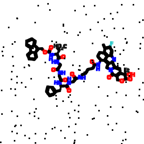 CC[C@@]1(O)C(=O)OCc2c1cc1n(c2=O)Cc2c-1nc1cc(F)c(C)c3c1c2[C@@H](NC(=O)CCCCNC(=O)CNC(=O)[C@H](Cc1ccccc1)NC(=O)CNC(=O)CNC(=O)[C@H](CC(=O)O)NC(=O)OCC1c2ccccc2-c2ccccc21)CC3